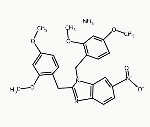 COc1ccc(Cc2nc3ccc([N+](=O)[O-])cc3n2Cc2ccc(OC)cc2OC)c(OC)c1.N